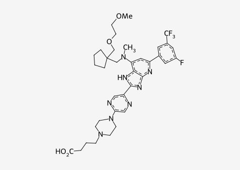 COCCOCC1(CN(C)c2cc(-c3cc(F)cc(C(F)(F)F)c3)nc3nc(-c4cnc(N5CCN(CCCC(=O)O)CC5)cn4)[nH]c23)CCCC1